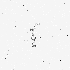 OCCNCCN1CCN(CCO)CC1